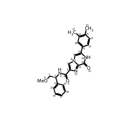 COC[C@@H](NC(=O)c1cn2cc(-c3ccc(C)c(C)c3)[nH]c(=O)c2n1)c1ccccc1